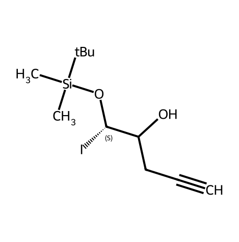 C#CCC(O)[C@H](I)O[Si](C)(C)C(C)(C)C